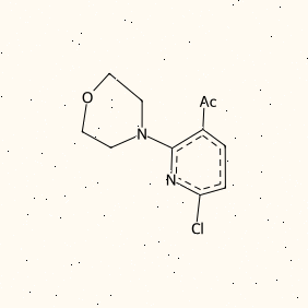 CC(=O)c1ccc(Cl)nc1N1CCOCC1